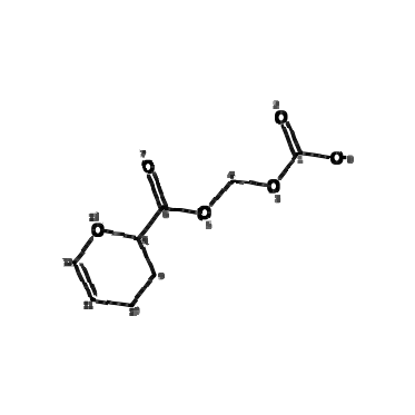 [O]C(=O)OCOC(=O)C1CCC=CO1